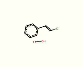 CCO.ClC=Cc1ccccc1